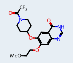 COCCOc1cc2nc[nH]c(=O)c2cc1OC1CCN(C(=O)C(F)(F)F)CC1